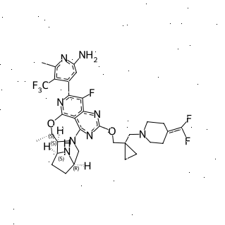 Cc1nc(N)cc(-c2nc3c4c(nc(OCC5(CN6CCC(=C(F)F)CC6)CC5)nc4c2F)N2C[C@H]4CC[C@H](N4)[C@H]2[C@H](C)O3)c1C(F)(F)F